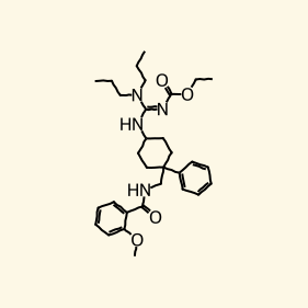 CCCN(CCC)C(=NC(=O)OCC)NC1CCC(CNC(=O)c2ccccc2OC)(c2ccccc2)CC1